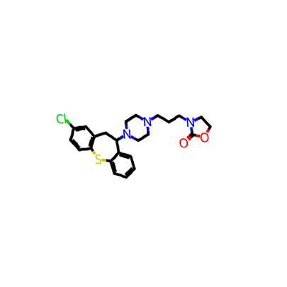 O=C1OCCN1CCCN1CCN(C2Cc3cc(Cl)ccc3Sc3ccccc32)CC1